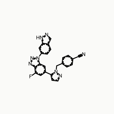 N#Cc1ccc(Cn2nccc2-c2cc(F)c3nnn(-c4ccc5cn[nH]c5c4)c3c2)cc1